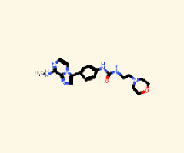 CNc1nccn2c(-c3ccc(NC(=O)NCCN4CCOCC4)cc3)cnc12